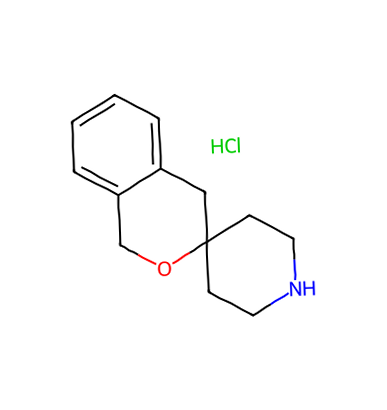 Cl.c1ccc2c(c1)COC1(CCNCC1)C2